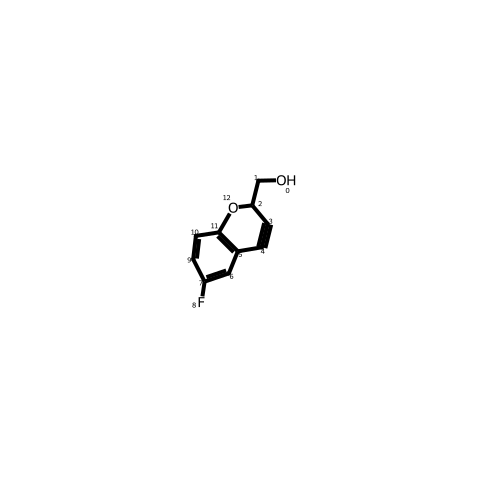 OCC1C#Cc2cc(F)ccc2O1